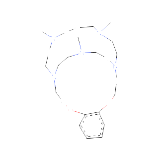 CN1CCCN(C)CCN2CCOc3ccccc3OCCN(CC1)CCN(C)CC2